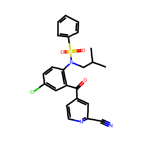 CC(C)CN(c1ccc(Cl)cc1C(=O)c1ccnc(C#N)c1)S(=O)(=O)c1ccccc1